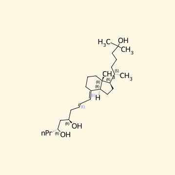 CCC[C@@H](O)C[C@H](O)C/C=C/C=C1\CCC[C@]2(C)[C@@H]([C@@H](C)CCCC(C)(C)O)CC[C@@H]12